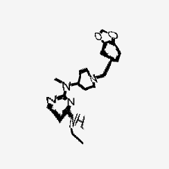 CCNc1ccnc(N(C)C2CCN(Cc3ccc4c(c3)OCO4)CC2)n1